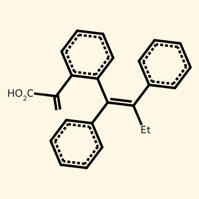 C=C(C(=O)O)c1ccccc1C(=C(CC)c1ccccc1)c1ccccc1